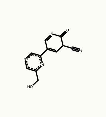 N#CC1C=C(c2cncc(CO)n2)C=NC1=O